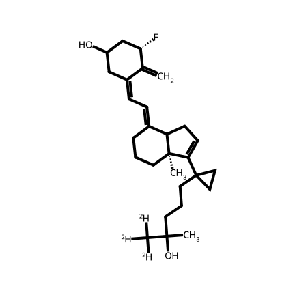 [2H]C([2H])([2H])C(C)(O)CCCC1(C2=CCC3/C(=C/C=C4/CC(O)C[C@H](F)C4=C)CCC[C@]23C)CC1